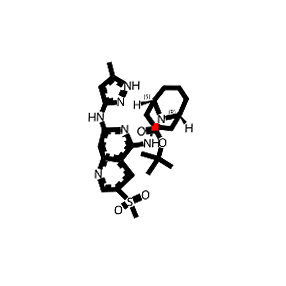 Cc1cc(Nc2cc3ncc(S(C)(=O)=O)cc3c(N[C@H]3C[C@H]4CCC[C@@H](C3)N4C(=O)OC(C)(C)C)n2)n[nH]1